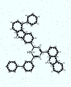 c1ccc(-c2cccc(C3=NC(c4cccc5c4oc4ccccc45)=NC(c4ccc5c(c4)oc4cccc(-c6ccccc6)c45)N3)c2)cc1